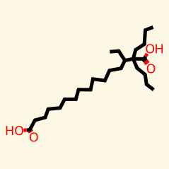 CCCCC(CCCC)(C(=O)O)C(CC)CCCCCCCCCCCCC(=O)O